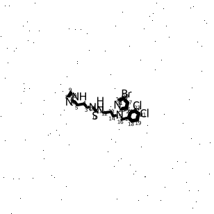 S=C(NCCCc1ncc[nH]1)NCCCN(Cc1ccc(Cl)c(Cl)c1)c1ccc(Br)cn1